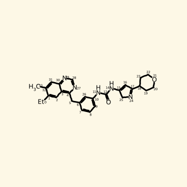 CCc1cc2c(Cc3cccc(NC(=O)NC4=CC(C5CCOCC5)=NC4)c3)ncnc2cc1C